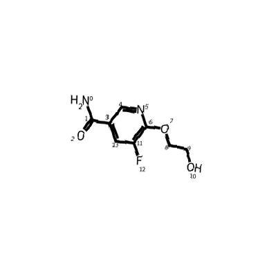 NC(=O)c1cnc(OCCO)c(F)c1